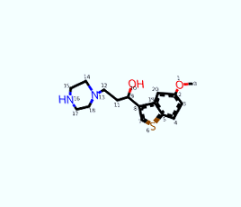 COc1ccc2scc(C(O)CCN3CCNCC3)c2c1